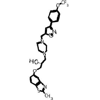 Cc1nc2cc(OC[C@H](O)CN3CCN(Cc4cc(-c5ccc(OC(F)(F)F)cc5)no4)CC3)ccc2s1